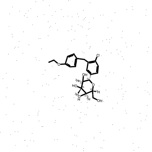 [2H][C@]1(O)[C@]([2H])(O)[C@@]([2H])(O)[C@H](c2ccc(Cl)c(Cc3ccc(OCC)cc3)c2)O[C@]1([2H])CO